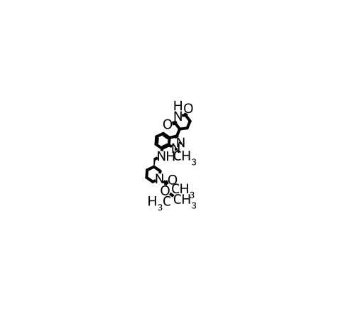 Cn1nc(C2CCC(=O)NC2=O)c2cccc(NC[C@@H]3CCCN(C(=O)OC(C)(C)C)C3)c21